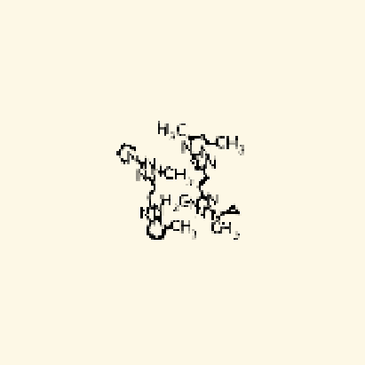 Cc1cc(C)n2nc(C=Cc3nc(N(C)C4CC4)nn3C)nc2n1.Cc1cccc2nc(CCc3nc(N4CCCC4)nn3C)nn12